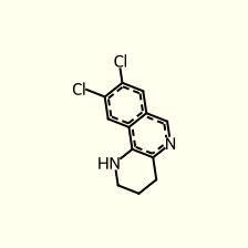 Clc1cc2cnc3c(c2cc1Cl)NCCC3